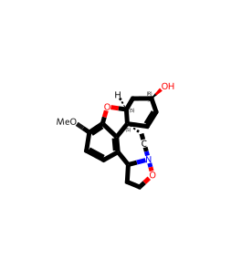 COc1ccc2c3c1O[C@H]1C[C@@H](O)C=C[C@@]31CCN1OCCC21